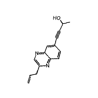 C=CCc1cnc2cc(C#CC(C)O)ccc2n1